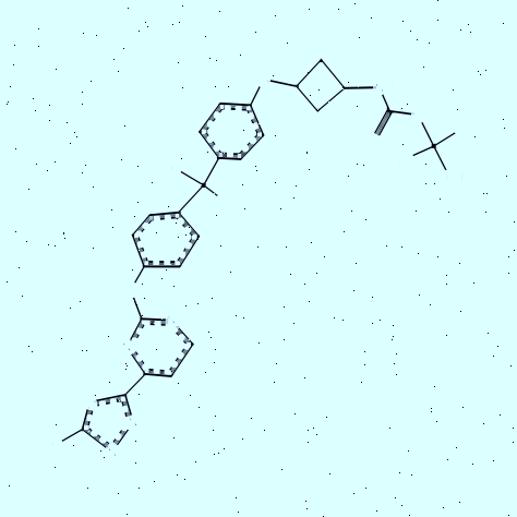 Cc1nnc(-c2ccnc(Oc3ccc(C(C)(C)c4ccc(OC5CC(NC(=O)OC(C)(C)C)C5)cc4)cc3)n2)o1